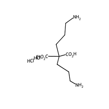 CCOC(=O)C(CCCN)(CCCN)C(=O)O.Cl.Cl